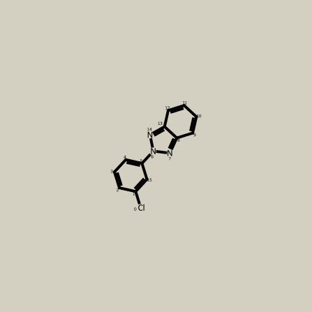 Clc1cccc(-n2nc3ccccc3n2)c1